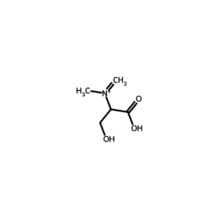 C=[N+](C)C(CO)C(=O)O